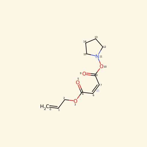 C=CCOC(=O)/C=C\C(=O)ON1CCCC1